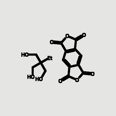 CCC(CO)(CO)CO.O=c1oc(=O)c2cc3c(=O)oc(=O)c3cc12